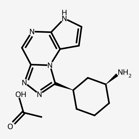 CC(=O)O.N[C@H]1CCC[C@@H](c2nnc3cnc4[nH]ccc4n23)C1